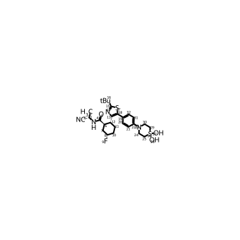 C[C@@H](C#N)NC(=O)[C@@H]1C[C@@H](F)CC[C@H]1c1nc(C(C)(C)C)sc1-c1ccc(N2CCS(O)(O)CC2)cc1